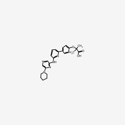 CC(C)(Oc1ccc(-c2cccc(Nc3cncc(N4CCCCC4)n3)n2)cc1)C(=O)O